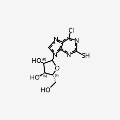 OC[C@H]1OC(n2cnc3c(Cl)nc(S)nc32)[C@H](O)[C@@H]1O